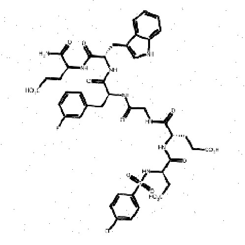 NC(=O)[C@H](CCC(=O)O)NC(=O)[C@H](Cc1c[nH]c2ccccc12)NC(=O)[C@H](Cc1cccc(F)c1)NC(=O)CNC(=O)[C@H](CCC(=O)O)NC(=O)[C@@H](CC(=O)O)NS(=O)(=O)c1ccc(Cl)cc1